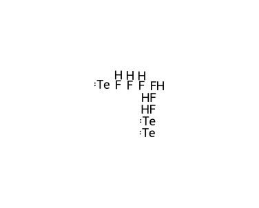 F.F.F.F.F.F.[Te].[Te].[Te]